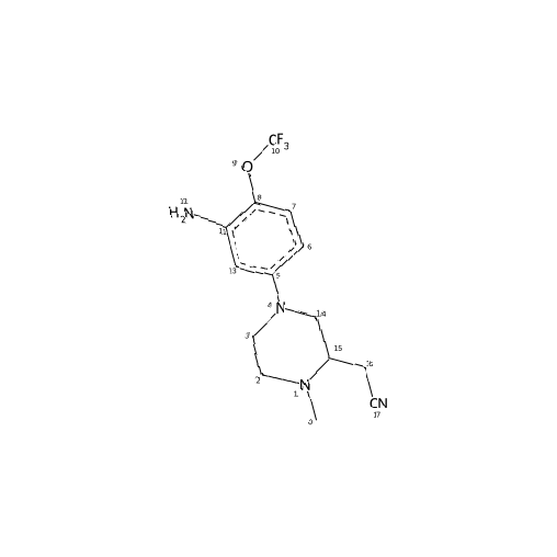 CN1CCN(c2ccc(OC(F)(F)F)c(N)c2)CC1CC#N